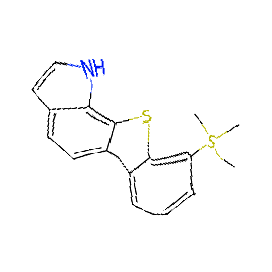 CS(C)(C)c1cccc2c1sc1c2ccc2cc[nH]c21